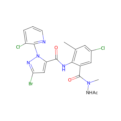 CC(=O)NN(C)C(=O)c1cc(Cl)cc(C)c1NC(=O)c1cc(Br)nn1-c1ncccc1Cl